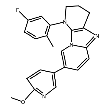 COc1ccc(-c2ccc3nc4c(n3c2)N(c2cc(F)ccc2C)CCC4)cn1